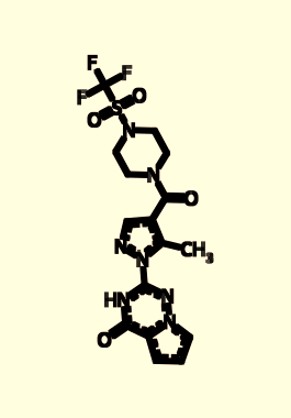 Cc1c(C(=O)N2CCN(S(=O)(=O)C(F)(F)F)CC2)cnn1-c1nn2cccc2c(=O)[nH]1